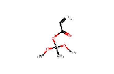 C=CC(=O)O[Si](C)(OCCC)OCCC